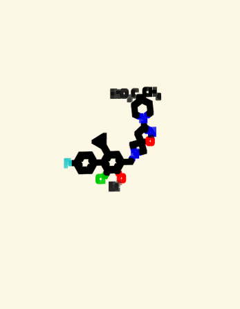 CCOC(=O)C1(C)CCN(C2=NOC3(C2)CN(Cc2cc(C4CC4)c(-c4ccc(F)cc4)c(Cl)c2OCC)C3)CC1